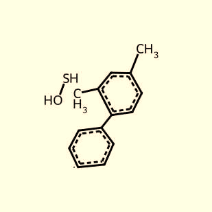 Cc1ccc(-c2cc[c]cc2)c(C)c1.OS